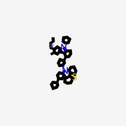 C=C/C=C\c1cc2c(cc1C)c1c(-c3cccc(N(c4ccc(-c5ccccc5)cc4)c4cccc5sc6ccccc6c45)c3)cccc1n2-c1ccccc1